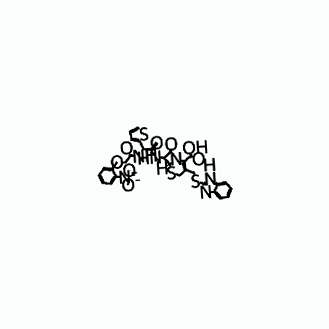 O=C(COc1ccccc1[N+](=O)[O-])NC(C(=O)NC1C(=O)N2C(C(=O)O)=C(CSc3nc4ccccc4[nH]3)CS[C@@H]12)c1cccs1